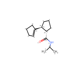 CC(C)NC(=O)[C@H]1CCC[C@@H]1C1=CCCC1